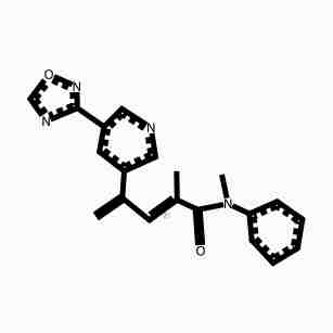 C=C(/C=C(\C)C(=O)N(C)c1ccccc1)c1cncc(-c2ncon2)c1